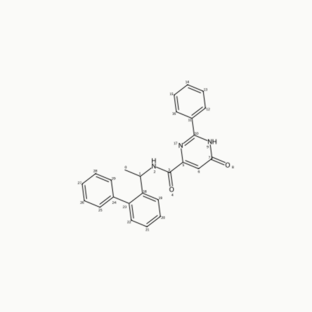 CC(NC(=O)c1cc(=O)[nH]c(-c2ccccc2)n1)c1ccccc1-c1ccccc1